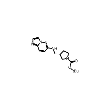 CC(C)(C)OC(=O)N1CC[C@@H](CNc2ccc3nccn3n2)C1